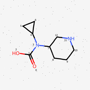 O=C(O)N(C1CC1)C1CCCNC1